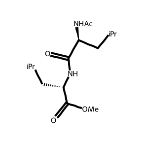 COC(=O)[C@H](CC(C)C)NC(=O)[C@H](CC(C)C)NC(C)=O